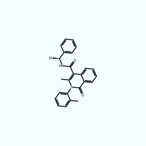 CC[C@H](NC(=O)c1c(C)n(-c2ccccc2C)c(=O)c2ccccc12)c1ccccc1